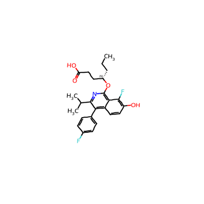 CCC[C@@H](CCC(=O)O)Oc1nc(C(C)C)c(-c2ccc(F)cc2)c2ccc(O)c(F)c12